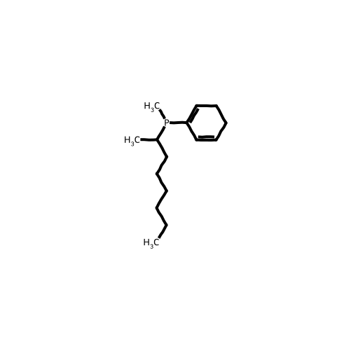 CCCCCCC(C)P(C)C1=CCCC=C1